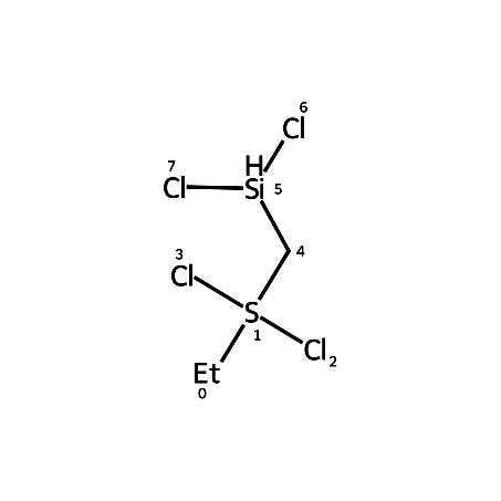 CCS(Cl)(Cl)C[SiH](Cl)Cl